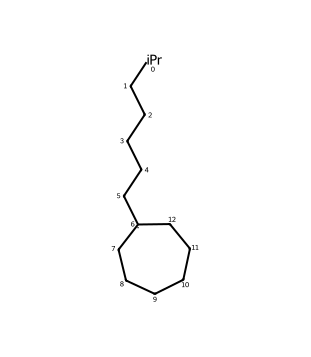 CC(C)CCCCC[C]1CCCCCC1